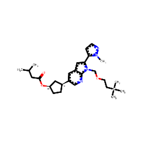 CC(C)CC(=O)O[C@@H]1CC[C@H](c2cnc3c(c2)cc(-c2ccnn2C)n3COCC[Si](C)(C)C)C1